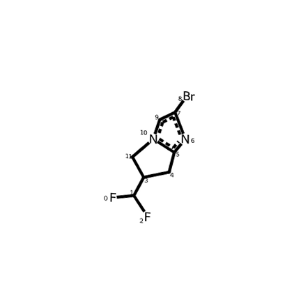 FC(F)C1Cc2nc(Br)cn2C1